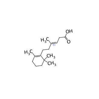 CC1=C(CC/C(C)=C/CC(=O)O)C(C)(C)CCC1